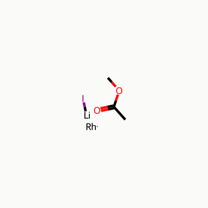 COC(C)=O.[Li][I].[Rh]